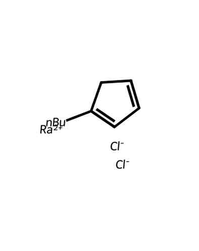 CCCCC1=CC=CC1.[Cl-].[Cl-].[Ra+2]